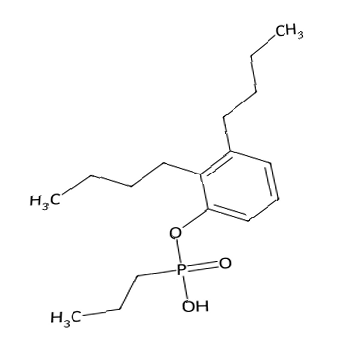 CCCCc1cccc(OP(=O)(O)CCC)c1CCCC